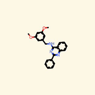 COc1cc(CNc2nc(-c3ccccc3)nc3ccccc23)cc(OC)c1